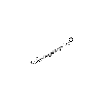 C=CC(=O)OCCOCCOCCOCCOCCOCCOc1ccccc1